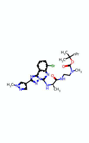 CCCC(C)(C)OC(=O)N(C)CCNC(=O)[C@@H](C)Nc1nc2c(Br)cccc2c2nc(-c3cnn(C)c3)nn12